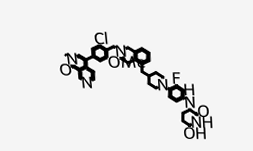 COc1cc(-c2cn(C)c(=O)c3cnccc23)cc(Cl)c1CN1CCc2c(CC3CCN(c4ccc(NC5CCC(O)NC5=O)cc4F)CC3)cccc2C1